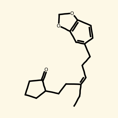 CCC(=CCCc1ccc2c(c1)OCO2)CCC1CCCC1=O